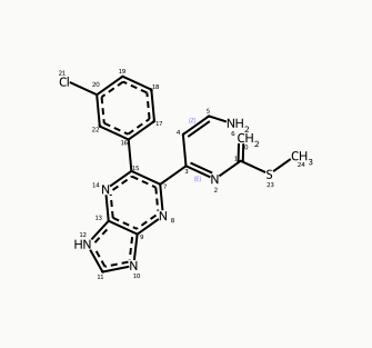 C=C(/N=C(\C=C/N)c1nc2nc[nH]c2nc1-c1cccc(Cl)c1)SC